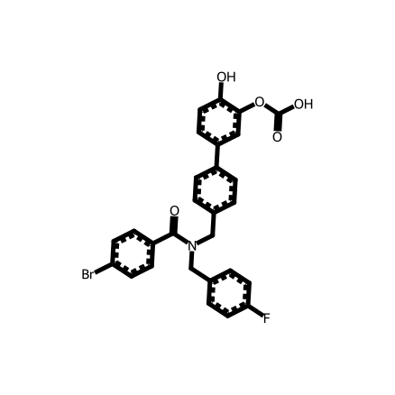 O=C(O)Oc1cc(-c2ccc(CN(Cc3ccc(F)cc3)C(=O)c3ccc(Br)cc3)cc2)ccc1O